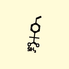 C=Cc1ccc(C(C)(C)C(=O)O[SiH3])cc1